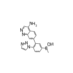 CB(O)c1ccc(-n2ccnn2)c(-c2ccc3c(N)cnnc3c2)c1